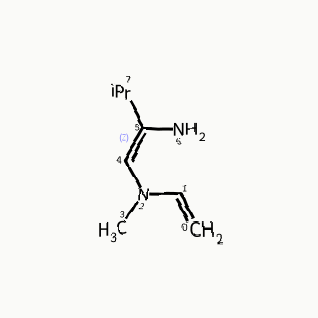 C=CN(C)/C=C(\N)C(C)C